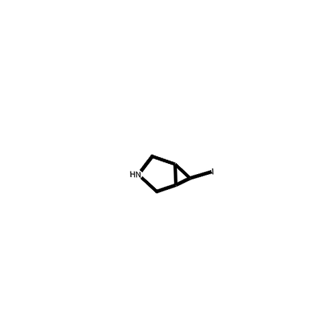 IC1C2CNCC12